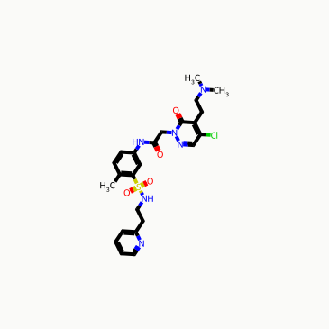 Cc1ccc(NC(=O)Cn2ncc(Cl)c(CCN(C)C)c2=O)cc1S(=O)(=O)NCCc1ccccn1